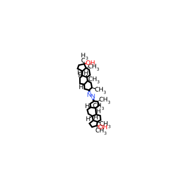 C[C@@H]1C[C@@]2(C)[C@@H](CC[C@@H]3[C@@H]2CC[C@@]2(C)[C@H]3CC[C@]2(C)O)C/C1=N/N=C1\C[C@@H]2CC[C@@H]3[C@H](CC[C@@]4(C)[C@H]3CC[C@]4(C)O)[C@@]2(C)C[C@H]1C